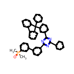 CP(C)(=O)c1cccc(-c2cccc(-c3nc(-c4ccccc4)nc(-c4cccc(C5(c6ccccc6)c6ccccc6-c6ccccc65)c4)n3)c2)c1